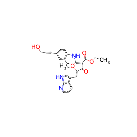 CCOC(=O)C1=C(Nc2ccc(C#CCO)cc2C)OC(=Cc2c[nH]c3ncccc23)C1=O